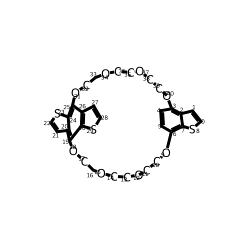 c1cc2c3ccc(c2s1)OCCOCCOCCOc1c2ccsc2c(c2ccsc12)OCCOCCOCCO3